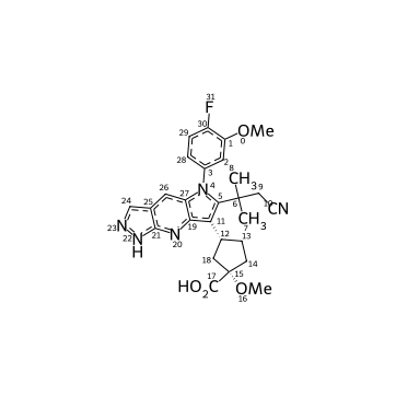 COc1cc(-n2c(C(C)(C)CC#N)c([C@@H]3CC[C@@](OC)(C(=O)O)C3)c3nc4[nH]ncc4cc32)ccc1F